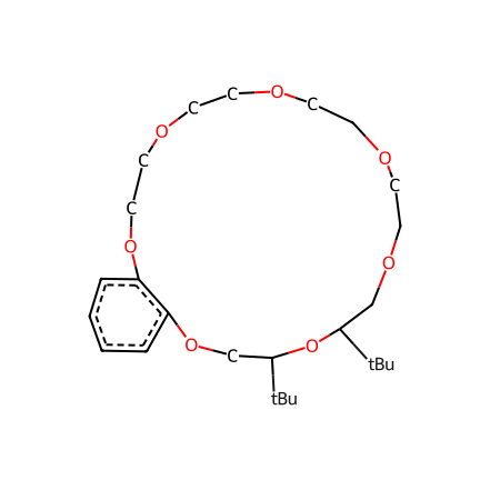 CC(C)(C)C1COCCOCCOCCOCCOc2ccccc2OCC(C(C)(C)C)O1